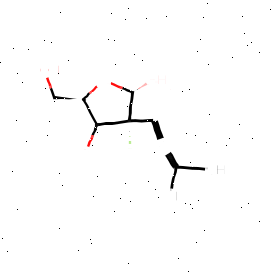 B[C@@H]1O[C@H](CO)C(O)[C@]1(F)C=C=C(C)C